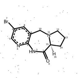 O=C1Nc2ncc(Br)cc2CN2CCC[C@@H]12